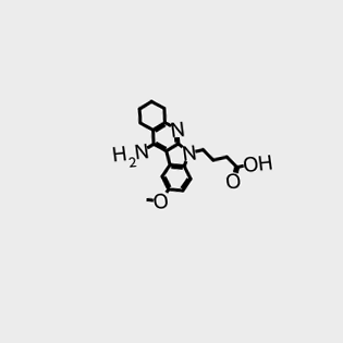 COc1ccc2c(c1)c1c(N)c3c(nc1n2CCCC(=O)O)CCCC3